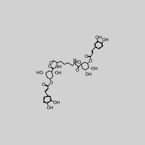 O=CC(CCCCNC(=O)[C@]1(O)C[C@@H](O)[C@@H](O)[C@H](OC(=O)/C=C/c2ccc(O)c(O)c2)C1)NC(=O)[C@]1(O)C[C@@H](O)C[C@H](OC(=O)/C=C/c2ccc(O)c(O)c2)C1